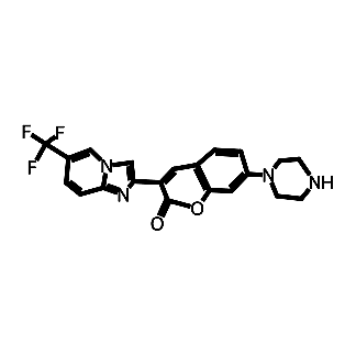 O=c1oc2cc(N3CCNCC3)ccc2cc1-c1cn2cc(C(F)(F)F)ccc2n1